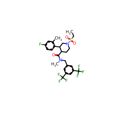 CCS(=O)(=O)N1CCC(C(=O)N(C)Cc2cc(C(F)(F)F)cc(C(F)(F)F)c2)C(c2ccc(F)cc2C)C1